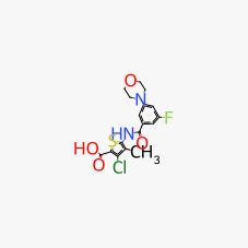 Cc1c(NC(=O)c2cc(F)cc(N3CCOCC3)c2)sc(C(=O)O)c1Cl